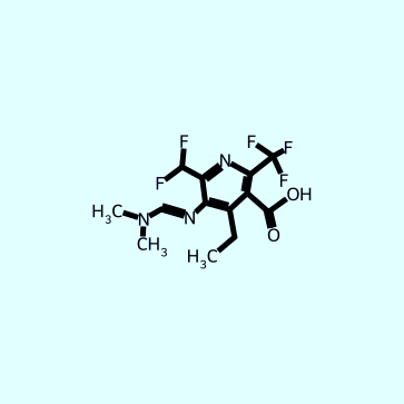 CCc1c(N=CN(C)C)c(C(F)F)nc(C(F)(F)F)c1C(=O)O